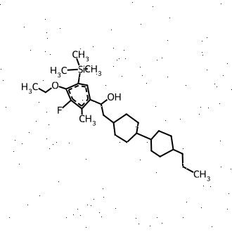 CCCC1CCC(C2CCC(CC(O)c3cc([Si](C)(C)C)c(OCC)c(F)c3C)CC2)CC1